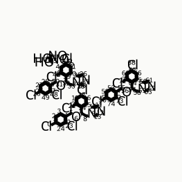 Clc1ccc(COC(Cn2ccnc2)c2ccc(Cl)cc2Cl)c(Cl)c1.Clc1ccc(COC(Cn2ccnc2)c2ccc(Cl)cc2Cl)c(Cl)c1.Clc1ccc(COC(Cn2ccnc2)c2ccc(Cl)cc2Cl)c(Cl)c1.O=[N+]([O-])O.O=[N+]([O-])O